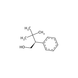 CC(C)(C)[C@H](CO)c1ccccc1